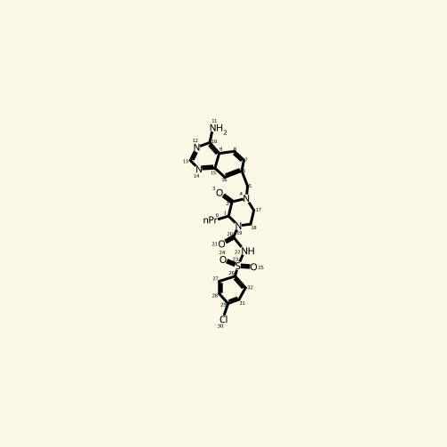 CCCC1C(=O)N(Cc2ccc3c(N)ncnc3c2)CCN1C(=O)NS(=O)(=O)c1ccc(Cl)cc1